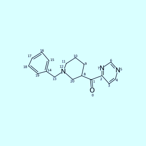 O=C(c1ccncn1)C1CCCN(Cc2ccccc2)C1